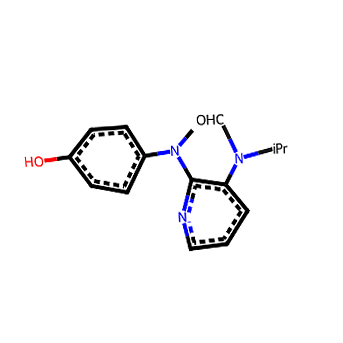 CC(C)N(C=O)c1cccnc1N(C)c1ccc(O)cc1